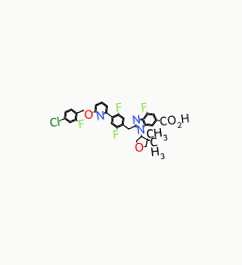 CC1(C)COCC1n1c(Cc2cc(F)c(-c3cccc(OCc4ccc(Cl)cc4F)n3)cc2F)nc2c(F)cc(C(=O)O)cc21